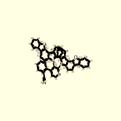 N#Cc1ccccc1-c1ccnc(-n2c3ccccc3c3c4oc5ccccc5c4ccc32)c1-n1c2ccccc2c2c3oc4ccccc4c3ccc21